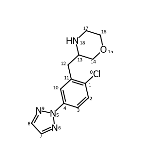 Clc1ccc(-n2nccn2)cc1CC1COCCN1